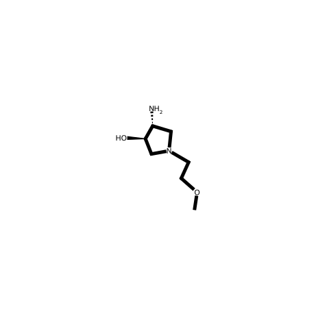 COCCN1C[C@@H](N)[C@H](O)C1